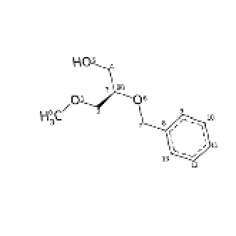 COC[C@@H](CO)OCc1ccccc1